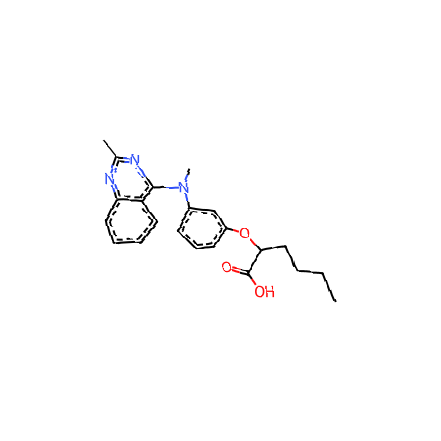 CCCCC(Oc1cccc(N(C)c2nc(C)nc3ccccc23)c1)C(=O)O